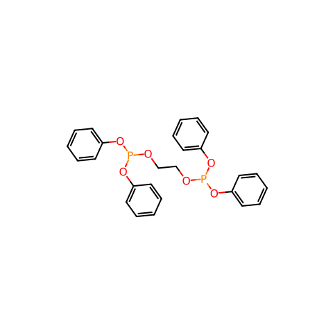 c1ccc(OP(OCCOP(Oc2ccccc2)Oc2ccccc2)Oc2ccccc2)cc1